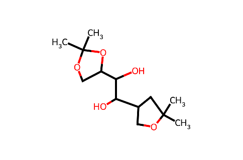 CC1(C)CC(C(O)C(O)C2COC(C)(C)O2)CO1